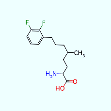 CC(CCCc1cccc(F)c1F)CCC(N)C(=O)O